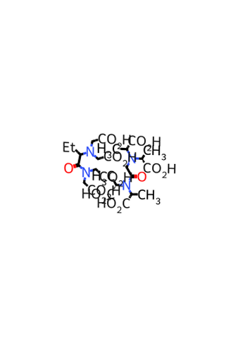 CC(C(=O)O)N(CC(=O)N(C(C)C(=O)O)[C@@H](C)C(=O)O)[C@@H](C)C(=O)O.CCC(C(=O)N(CC(=O)O)CC(=O)O)N(CC(=O)O)CC(=O)O